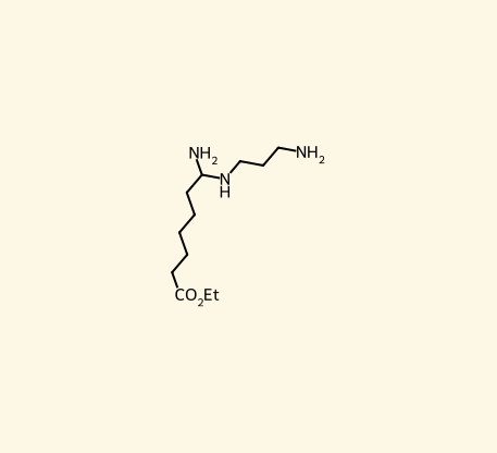 CCOC(=O)CCCCCC(N)NCCCN